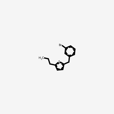 CCCc1ccc(Cc2cccc(Br)c2)s1